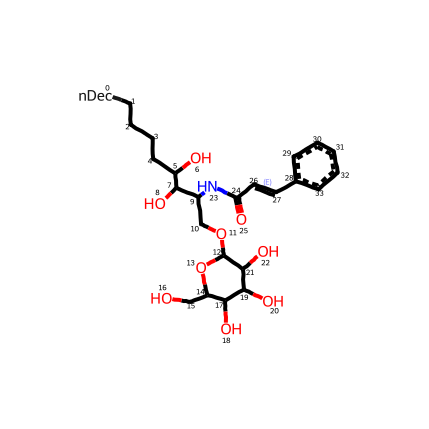 CCCCCCCCCCCCCCC(O)C(O)C(COC1OC(CO)C(O)C(O)C1O)NC(=O)/C=C/c1ccccc1